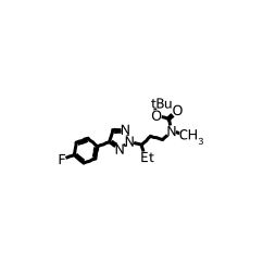 CCC(CCN(C)C(=O)OC(C)(C)C)n1ncc(-c2ccc(F)cc2)n1